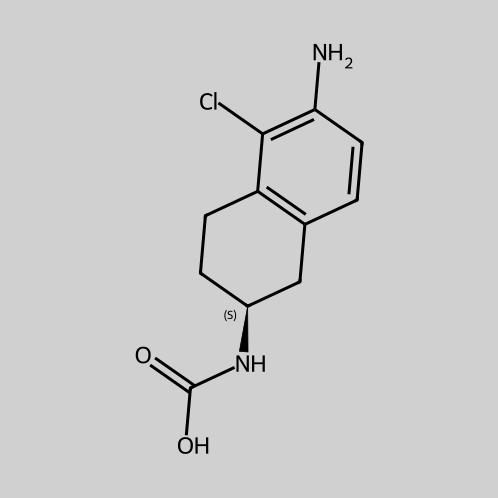 Nc1ccc2c(c1Cl)CC[C@H](NC(=O)O)C2